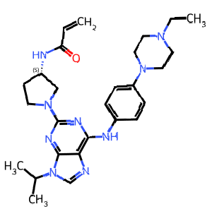 C=CC(=O)N[C@H]1CCN(c2nc(Nc3ccc(N4CCN(CC)CC4)cc3)c3ncn(C(C)C)c3n2)C1